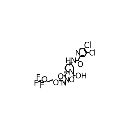 O=C(N[C@H]1CC[C@H](c2nnc(OCCOC(F)(F)F)o2)N(C(=O)O)C1)c1cc(Cl)c(Cl)cn1